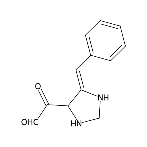 O=CC(=O)C1NCNC1=Cc1ccccc1